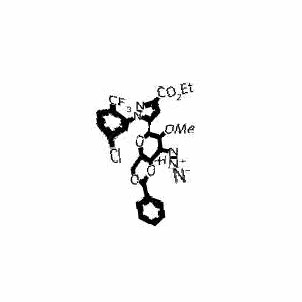 CCOC(=O)c1cc([C@@H]2OC3COC(c4ccccc4)O[C@@H]3C(N=[N+]=[N-])C2OC)n(-c2cc(Cl)ccc2C(F)(F)F)n1